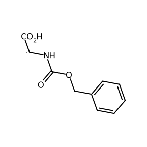 O=C(O)[CH]NC(=O)OCc1ccccc1